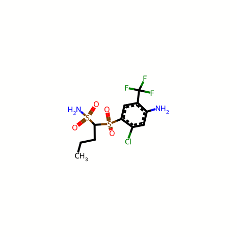 CCCC(S(N)(=O)=O)S(=O)(=O)c1cc(C(F)(F)F)c(N)cc1Cl